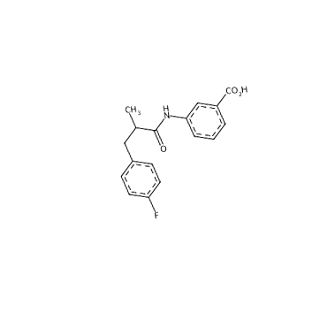 CC(Cc1ccc(F)cc1)C(=O)Nc1cccc(C(=O)O)c1